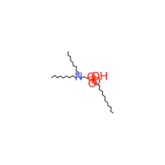 CCCCCCCCCCCCOP(=O)(O)OCCCN(CCCCCCCCC)CCCCCCCCC